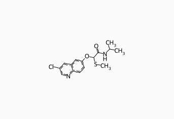 CSC(Oc1ccc2ncc(Cl)cc2c1)C(=O)NC(C)C